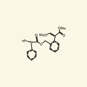 CCCN(C(=O)OCc1ccccc1/C(=C\OC)C(=O)OC)c1ccccc1